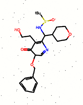 CC(C)(C)[S+]([O-])NC(C1=C(CCO)C(=O)C(OCc2ccccc2)C=N1)C1CCOCC1